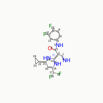 N=C/C(C(=O)Nc1ccc(F)c(F)c1)=C1\NC(C(F)F)=CC(=C2CC2)N1